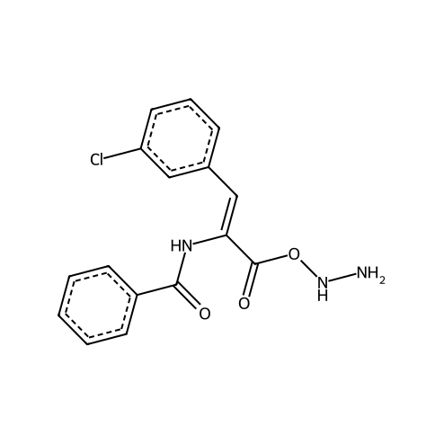 NNOC(=O)C(=Cc1cccc(Cl)c1)NC(=O)c1ccccc1